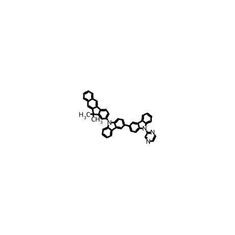 CC1(C)c2cc(-n3c4ccccc4c4cc(-c5ccc6c(c5)c5ccccc5n6-c5cnccn5)ccc43)ccc2-c2cc3ccccc3cc21